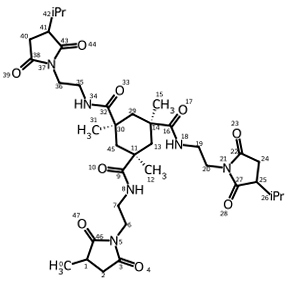 CC1CC(=O)N(CCNC(=O)[C@]2(C)C[C@](C)(C(=O)NCCN3C(=O)CC(C(C)C)C3=O)C[C@](C)(C(=O)NCCN3C(=O)CC(C(C)C)C3=O)C2)C1=O